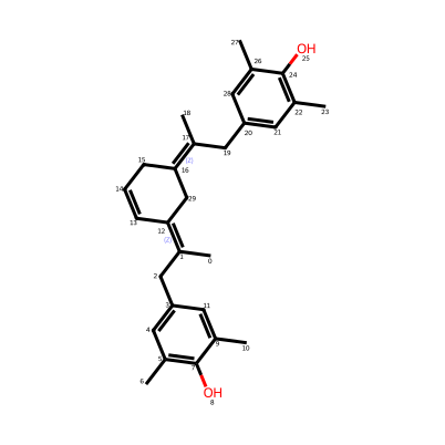 C/C(Cc1cc(C)c(O)c(C)c1)=C1/C=CC/C(=C(\C)Cc2cc(C)c(O)c(C)c2)C1